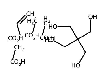 C=CC(=O)O.CC(=O)O.CC(=O)O.CC(=O)O.OCC(CO)(CO)CO